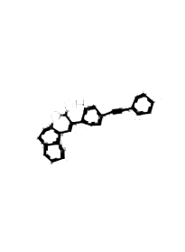 OC1Oc2ccc3ccccc3c2C=C1c1ccc(C#Cc2ccccc2)cc1